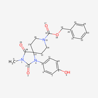 CN1C(=O)N(c2ccc(O)cc2)C2(CCN(C(=O)OCc3ccccc3)CC2)C1=O